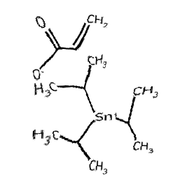 C=CC(=O)[O-].C[CH](C)[Sn+]([CH](C)C)[CH](C)C